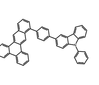 c1ccc(-n2c3ccccc3c3cc(-c4ccc(-c5cccc6cc7c8ccccc8c8ccccc8c7cc56)cc4)ccc32)cc1